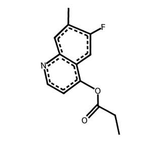 CCC(=O)Oc1ccnc2cc(C)c(F)cc12